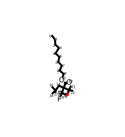 CCCCCCCCCCOC(=O)C(CC(C)(C)C)(C(C)(C)C)C(F)(F)F